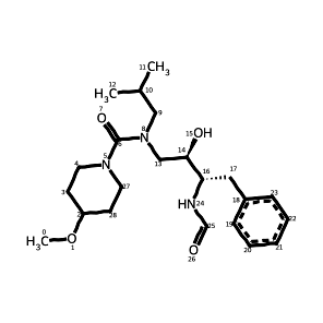 COC1CCN(C(=O)N(CC(C)C)C[C@@H](O)[C@H](Cc2ccccc2)NC=O)CC1